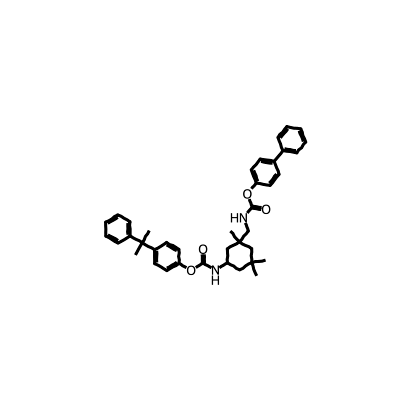 CC1(C)CC(NC(=O)Oc2ccc(C(C)(C)c3ccccc3)cc2)CC(C)(CNC(=O)Oc2ccc(-c3ccccc3)cc2)C1